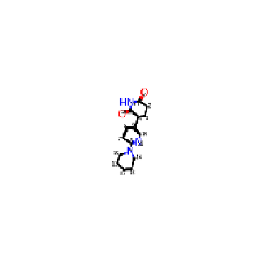 O=C1CCC(c2ccc(N3CCCCC3)nc2)C(=O)N1